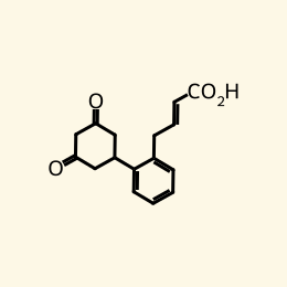 O=C(O)C=CCc1ccccc1C1CC(=O)CC(=O)C1